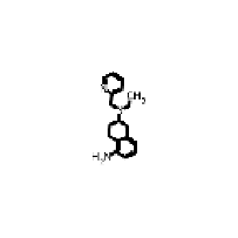 CCN(Cc1ccccn1)C1CCc2c(N)cccc2C1